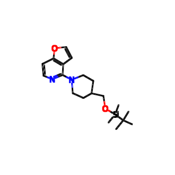 CC(C)(C)[Si](C)(C)OCC1CCN(c2nccc3occc23)CC1